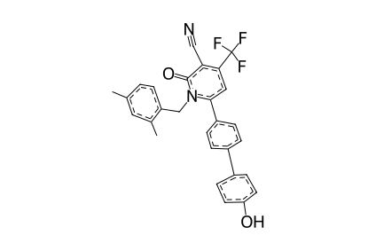 Cc1ccc(Cn2c(-c3ccc(-c4ccc(O)cc4)cc3)cc(C(F)(F)F)c(C#N)c2=O)c(C)c1